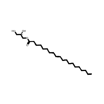 CCCCCCCCCCCCCCCCCCCC(=O)OC[C@H](O)CO